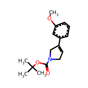 COc1cccc(C2=CCN(C(=O)OC(C)(C)C)C2)c1